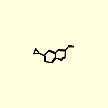 CNc1cnc2ccc(C3CC3)cc2c1